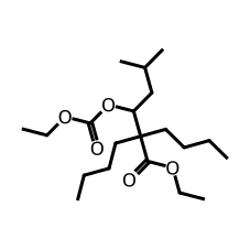 CCCCC(CCCC)(C(=O)OCC)C(CC(C)C)OC(=O)OCC